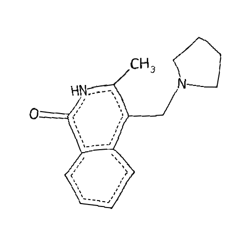 Cc1[nH]c(=O)c2ccccc2c1CN1CCCC1